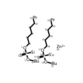 CCC(C)OP(=S)([S-])OCCCCCC(C)C.CCC(C)OP(=S)([S-])OCCCCCC(C)C.[Zn+2]